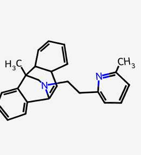 Cc1cccc(CCN2CC3(C)c4ccccc4C2=CC2C=CC=CC23)n1